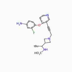 CC(C)(C)C(NC(=O)O)C1CN(CC#Cc2cnccc2Oc2ccc(N)cc2F)C1